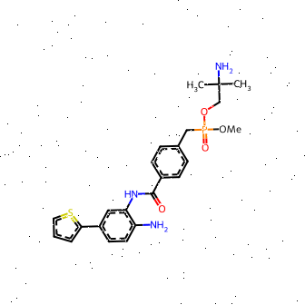 COP(=O)(Cc1ccc(C(=O)Nc2cc(-c3cccs3)ccc2N)cc1)OCC(C)(C)N